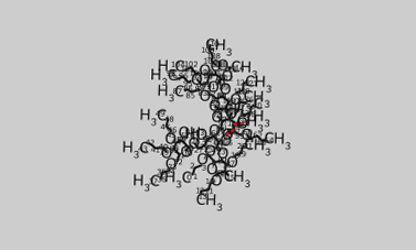 CCCCOCC1O[C@@H](OCCCC)C(C)C(OCCCC)[C@@H]1O[C@@H]1OC(CO[C@H]2OC(COCCCC)[C@@H](OCCCC)C(OCCCC)[C@H]2O)[C@@H](O)C(O[C@@H]2OC(COCCCC)[C@H](OCCCC)C(OCCCC)[C@@H]2O[C@@H]2OC(COCCCC)[C@@H](O[C@@H]3OC(COCCCC)[C@H](OCCCC)C(OCCCC)[C@@H]3OC(C)=O)C(OCCCC)[C@@H]2C)[C@H]1OCCCC